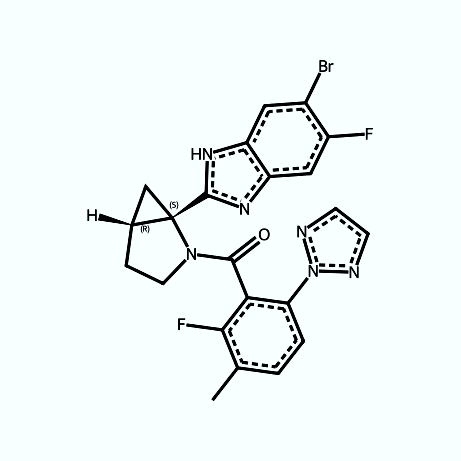 Cc1ccc(-n2nccn2)c(C(=O)N2CC[C@@H]3C[C@@]32c2nc3cc(F)c(Br)cc3[nH]2)c1F